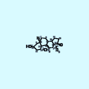 C[C@]12CC=C3C(CC[C@H]4C[C@H](O)CC[C@]34C)C1CCC2=O